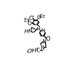 CCOc1cc(CN(c2ccc(C(=O)N3CCN(CC=O)CC3)cn2)C2CCNCC2)cc(OCC)c1Cl